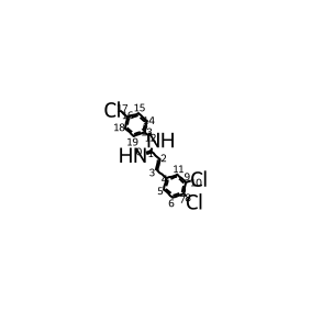 N=C(/C=C/c1ccc(Cl)c(Cl)c1)Nc1ccc(Cl)cc1